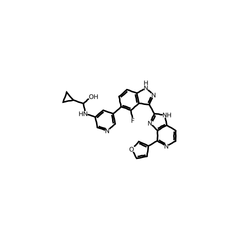 OC(Nc1cncc(-c2ccc3[nH]nc(-c4nc5c(-c6ccoc6)nccc5[nH]4)c3c2F)c1)C1CC1